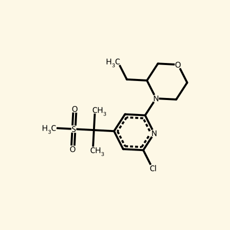 CCC1COCCN1c1cc(C(C)(C)S(C)(=O)=O)cc(Cl)n1